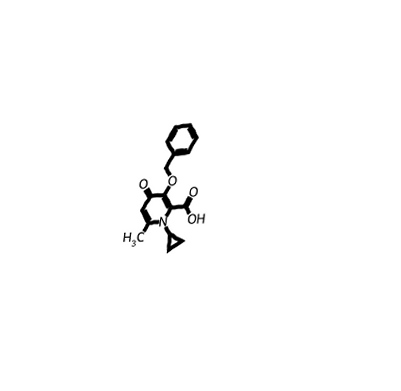 Cc1cc(=O)c(OCc2ccccc2)c(C(=O)O)n1C1CC1